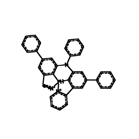 c1ccc(-c2cc3c4c(c2)N(c2ccccc2)c2cc(-c5ccccc5)cc5c2[PH]4([n+]2ccccc2-3)[n+]2ccccc2-5)cc1